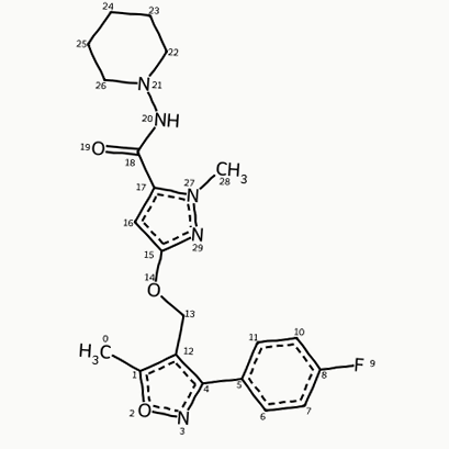 Cc1onc(-c2ccc(F)cc2)c1COc1cc(C(=O)NN2CCCCC2)n(C)n1